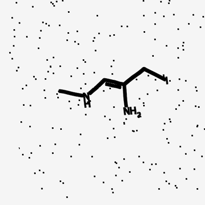 CN/C=C(\N)CI